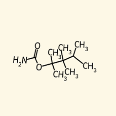 CC(C)C(C)(C)C(C)(C)OC(N)=O